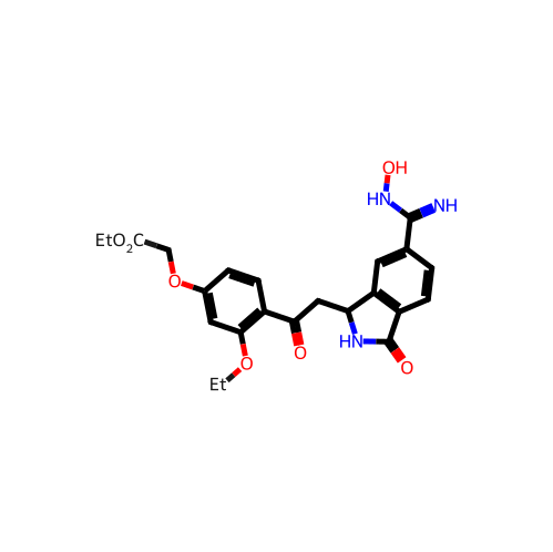 CCOC(=O)COc1ccc(C(=O)CC2NC(=O)c3ccc(C(=N)NO)cc32)c(OCC)c1